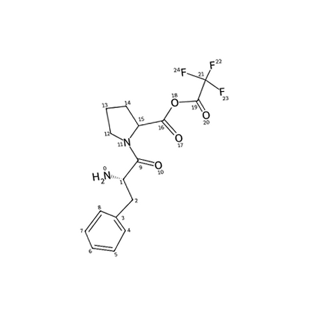 N[C@@H](Cc1ccccc1)C(=O)N1CCCC1C(=O)OC(=O)C(F)(F)F